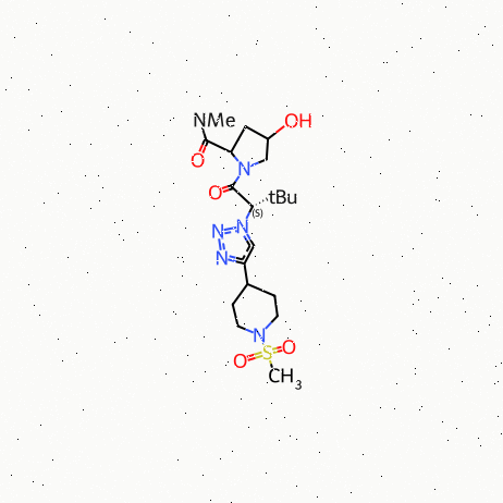 CNC(=O)C1CC(O)CN1C(=O)[C@@H](n1cc(C2CCN(S(C)(=O)=O)CC2)nn1)C(C)(C)C